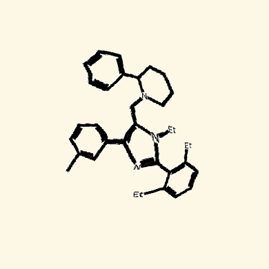 CCc1cccc(CC)c1-c1nc(-c2cccc(C)c2)c(CN2CCCCC2c2ccccc2)n1CC